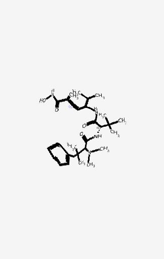 C/C(=C\C(NC(=O)[C@@H](NC(=O)C(N(C)C)C(C)(C)c1ccccc1)C(C)(C)C)C(C)C)C(=O)NO